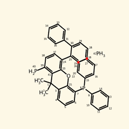 CC1(C)c2cccc(P(c3ccccc3)c3ccccc3)c2Oc2c(-c3ccccc3-c3ccccc3)ccc(P)c21.P